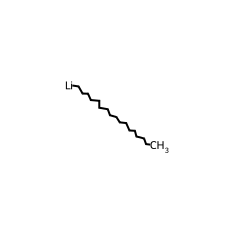 [Li][CH2]CCCCCCCCCCCCCCCC